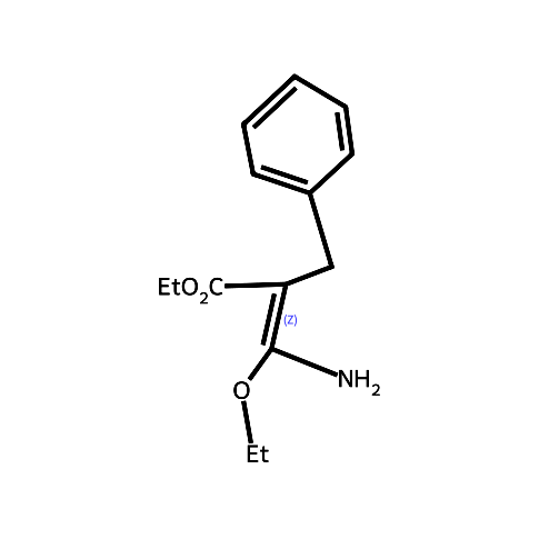 CCOC(=O)/C(Cc1ccccc1)=C(/N)OCC